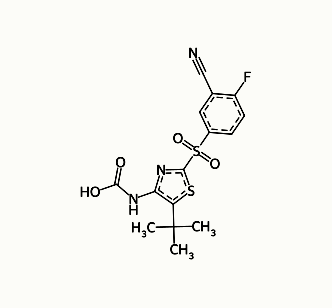 CC(C)(C)c1sc(S(=O)(=O)c2ccc(F)c(C#N)c2)nc1NC(=O)O